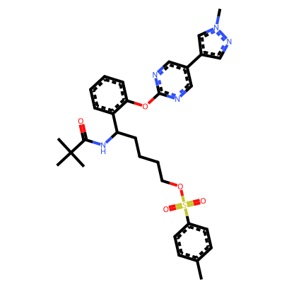 Cc1ccc(S(=O)(=O)OCCCCC(NC(=O)C(C)(C)C)c2ccccc2Oc2ncc(-c3cnn(C)c3)cn2)cc1